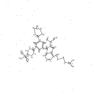 CN(C)CCCOc1cccc2c1nc(C(F)F)n2-c1nc(N2CCOCC2)nc(N2CCN(S(C)(=O)=O)CC2)n1